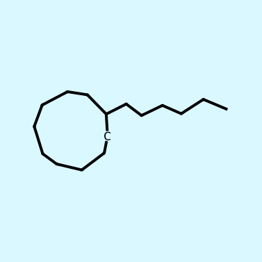 CCCCCCC1CCCCCCCCC1